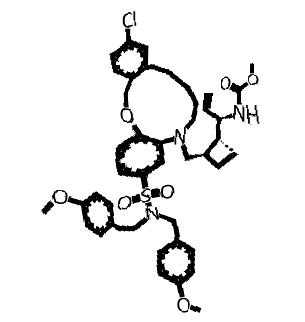 C=C[C@@H](NC(=O)OC)[C@@H]1CC[C@H]1CN1CCCCc2cc(Cl)ccc2COc2ccc(S(=O)(=O)N(Cc3ccc(OC)cc3)Cc3ccc(OC)cc3)cc21